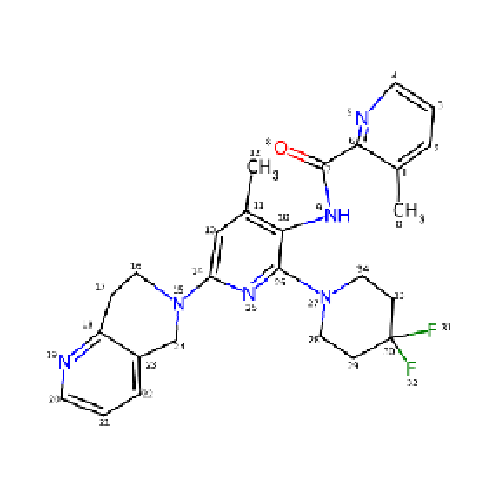 Cc1cccnc1C(=O)Nc1c(C)cc(N2CCc3ncccc3C2)nc1N1CCC(F)(F)CC1